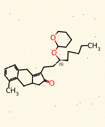 CCCCC[C@@H](CCC1=C2Cc3cccc(C)c3CC2CC1=O)OC1CCCCO1